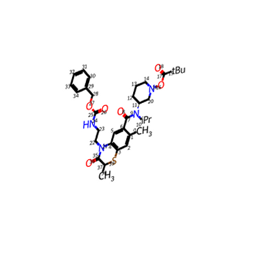 Cc1cc2c(cc1C(=O)N(C(C)C)[C@@H]1CCCN(OC(=O)C(C)(C)C)C1)N(CCNC(=O)OCc1ccccc1)C(=O)C(C)S2